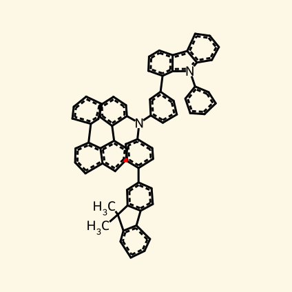 CC1(C)c2ccccc2-c2ccc(-c3ccc(N(c4cccc(-c5cccc6c7ccccc7n(-c7ccccc7)c56)c4)c4ccccc4-c4cccc5cccc(-c6ccccc6)c45)cc3)cc21